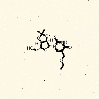 CCOCc1cn([C@@H]2O[C@H](CO)[C@H]3OC(C)(C)O[C@H]32)c(=S)[nH]c1=O